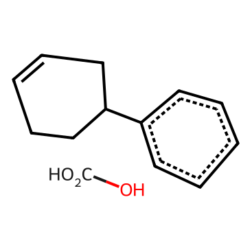 C1=CCC(c2ccccc2)CC1.O=C(O)O